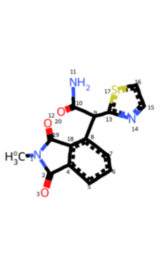 CN1C(=O)c2cccc(C(C(N)=O)c3nccs3)c2C1=O